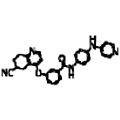 N#CC1CCc2nccc(Oc3cccc(C(=O)Nc4ccc(Nc5ccncc5)cc4)c3)c2C1